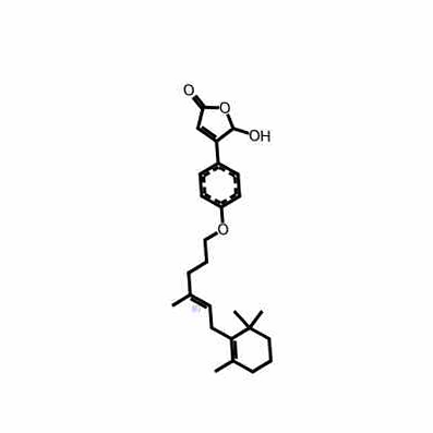 CC1=C(C/C=C(\C)CCCOc2ccc(C3=CC(=O)OC3O)cc2)C(C)(C)CCC1